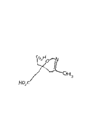 CC1=NOC(CCC(=O)O)(CC(=O)O)C1